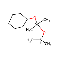 C[SiH](C)O[Si](C)(C)OC1CCCCC1